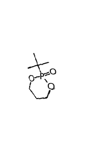 CC(C)(C)P1(=O)OCCCO1